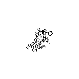 CC(C)N(C(C)C)P(OCCC#N)O[C@H]1C(O[Si](C)(C)C)[C@H](n2cnc3c(=O)[nH]c(NC(=O)c4ccccc4)nc32)O[C@@H]1COC(=O)OC1CC1